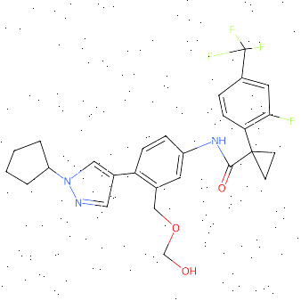 O=C(Nc1ccc(-c2cnn(C3CCCC3)c2)c(COCO)c1)C1(c2ccc(C(F)(F)F)cc2F)CC1